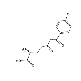 N[C@@H](CCC(=O)[CH]C(=O)c1ccc(Cl)cc1)C(=O)O